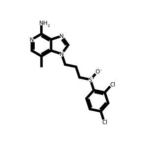 Cc1cnc(N)c2ncn(CCC[S+]([O-])c3ccc(Cl)cc3Cl)c12